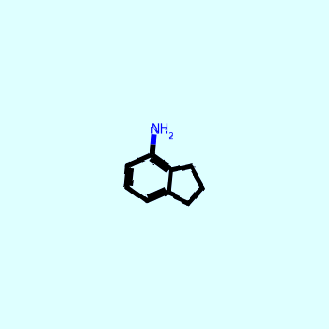 Nc1cccc2c1[CH]CC2